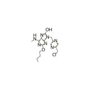 CCCCOc1nc(NC)c2nc(O)n(Cc3cnc(CCl)cn3)c2n1